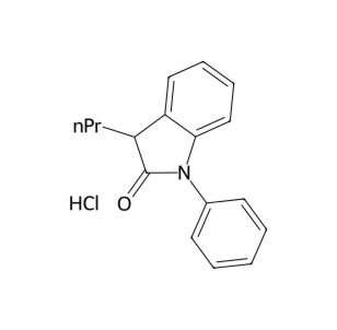 CCCC1C(=O)N(c2ccccc2)c2ccccc21.Cl